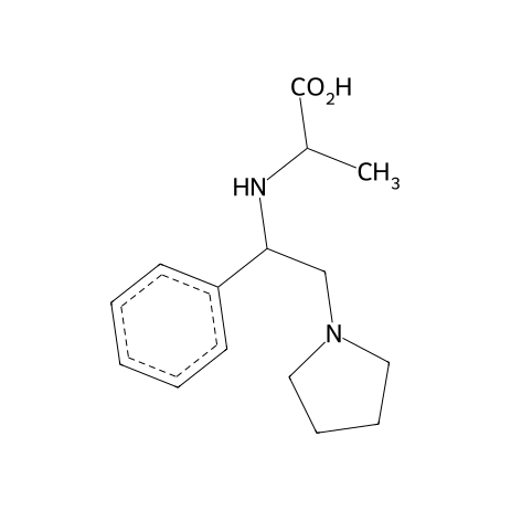 CC(NC(CN1CCCC1)c1ccccc1)C(=O)O